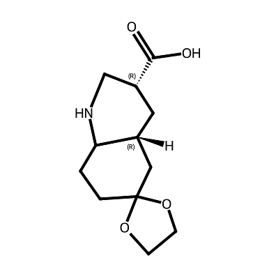 O=C(O)[C@H]1CNC2CCC3(C[C@H]2C1)OCCO3